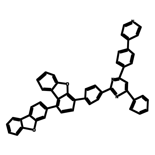 c1ccc(-c2cc(-c3ccc(-c4ccncc4)cc3)nc(-c3ccc(-c4ccc(-c5ccc6c(c5)oc5ccccc56)c5c4oc4ccccc45)cc3)n2)cc1